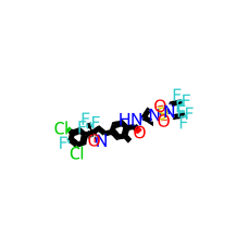 Cc1cc(C2=NO[C@@](c3cc(Cl)c(F)c(Cl)c3)(C(F)(F)F)C2)ccc1C(=O)NC1CN(S(=O)(=O)N(CC(F)(F)F)CC(F)(F)F)C1